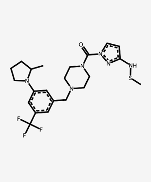 CSNc1ccn(C(=O)N2CCN(Cc3cc(N4CCCC4C)cc(C(F)(F)F)c3)CC2)n1